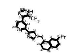 CC(C)c1ccc2c(c1)[C@H](Cn1cnc(-c3cc(-c4nn[nH]c4C(F)(F)F)ccn3)c1)CCC2